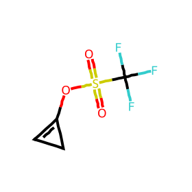 O=S(=O)(OC1=CC1)C(F)(F)F